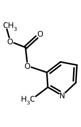 COC(=O)Oc1cccnc1C